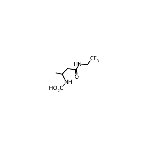 CC(CC(=O)NCC(F)(F)F)NC(=O)O